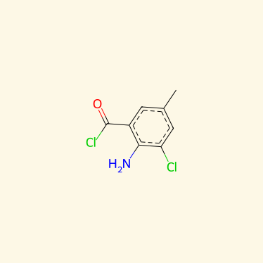 Cc1cc(Cl)c(N)c(C(=O)Cl)c1